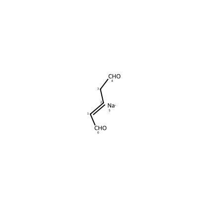 O=CC=CCC=O.[Na]